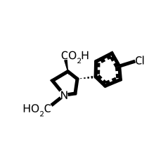 O=C(O)[C@@H]1CN(C(=O)O)C[C@H]1c1ccc(Cl)cc1